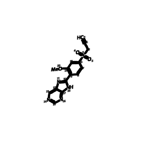 C#CCS(=O)(=O)c1ccc(-c2nc3cncnc3[nH]2)c(OC)c1